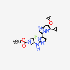 CC(C)(C)OC(=O)N1C[C@H](Nc2nccc(-c3cnc4cc(OC5CC5)c(C5CC5)nn34)n2)[C@@H](F)C1